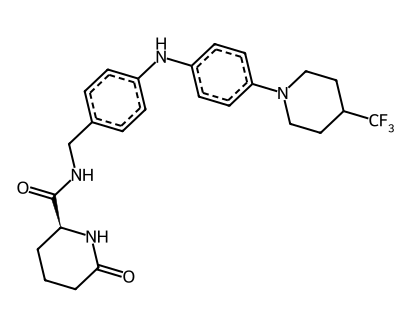 O=C1CCC[C@@H](C(=O)NCc2ccc(Nc3ccc(N4CCC(C(F)(F)F)CC4)cc3)cc2)N1